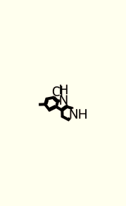 Cc1cc(Cl)c2[nH]c3c(c2c1)CCNC3